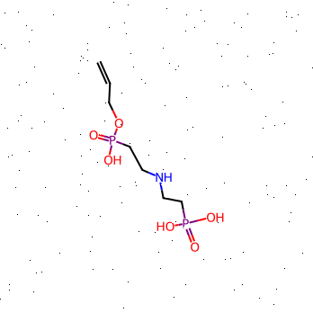 C=CCOP(=O)(O)CCNCCP(=O)(O)O